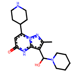 Cc1nn2c(C3CCNCC3)cc(=O)[nH]c2c1C(O)N1CCCCC1